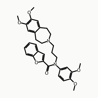 COc1ccc(N(CCCN2CCc3cc(OC)c(OC)cc3CC2)C(=O)c2cc3ccccc3o2)cc1OC